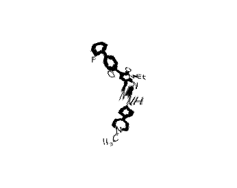 CCn1c(=O)c(-c2ccc(-c3ccccc3F)cc2Cl)cc2cnc(Nc3ccc(C4CCN(C)CC4)cc3)nc21